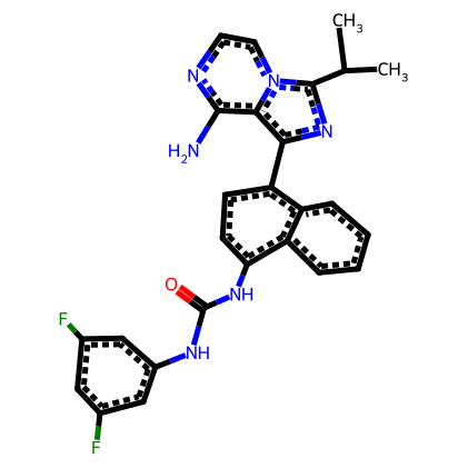 CC(C)c1nc(-c2ccc(NC(=O)Nc3cc(F)cc(F)c3)c3ccccc23)c2c(N)nccn12